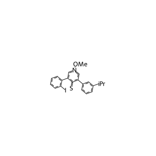 COn1cc(-c2cccc(C(C)C)c2)c(=S)c(-c2ccccc2I)c1